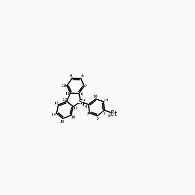 CCc1ccc(-[s+]2c3ccccc3c3ccccc32)cc1